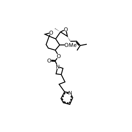 COC1C(OC(=O)N2CC(CCc3ccccn3)C2)CCC2(CO2)C1[C@@]1(C)O[C@@H]1CC=C(C)C